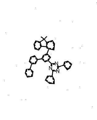 CC1(C)c2ccccc2-c2c(-c3cc(-c4cccc(-c5ccccc5)c4)cc(-c4nc(-c5ccccc5)nc(-c5ccccc5)n4)c3)cccc21